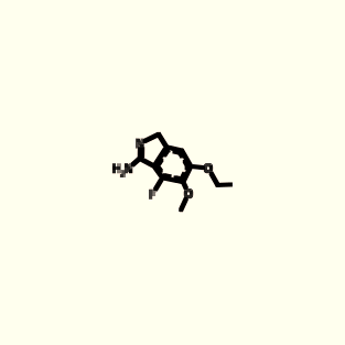 CCOc1cc2c(c(F)c1OC)C(N)=NC2